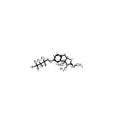 C/N=C1\SC2Cc3ccc(OCC(F)(F)C(F)(F)C(F)(F)F)cc3C2(O)N1C